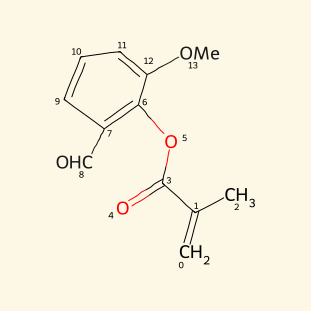 C=C(C)C(=O)Oc1c(C=O)cccc1OC